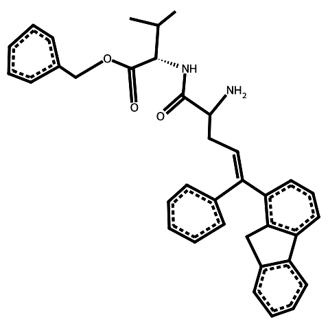 CC(C)[C@H](NC(=O)C(N)CC=C(c1ccccc1)c1cccc2c1Cc1ccccc1-2)C(=O)OCc1ccccc1